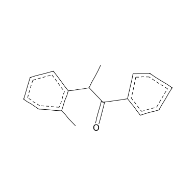 Cc1ccccc1C(C)C(=O)c1ccccc1